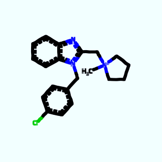 C[N+]1(Cc2nc3ccccc3n2Cc2ccc(Cl)cc2)CCCC1